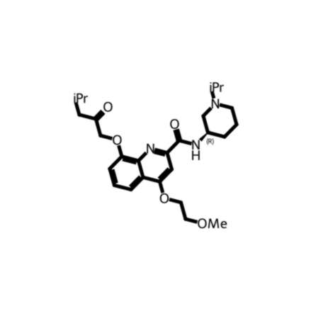 COCCOc1cc(C(=O)N[C@@H]2CCCN(C(C)C)C2)nc2c(OCC(=O)CC(C)C)cccc12